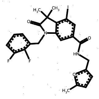 Cc1ccc(CNC(=O)c2cc(I)c3c(c2)N(Cc2cccc(F)c2F)C(=O)C3(C)C)o1